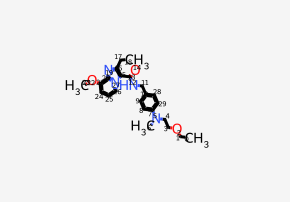 CCOCCN(C)c1ccc(CNC(=O)c2c(CC)nc3c(OC)cccn23)cc1